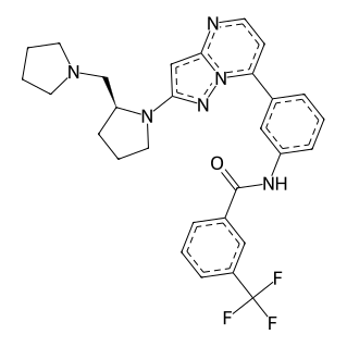 O=C(Nc1cccc(-c2ccnc3cc(N4CCC[C@H]4CN4CCCC4)nn23)c1)c1cccc(C(F)(F)F)c1